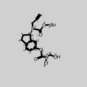 C#CCN(C(=O)OC(C)(C)C)[C@@H]1CCc2ccc(OC(=O)N(CC)CO)cc21